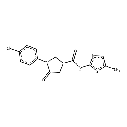 O=C(Nc1ncc(C(F)(F)F)s1)C1CC(=O)N(c2ccc(Cl)cc2)C1